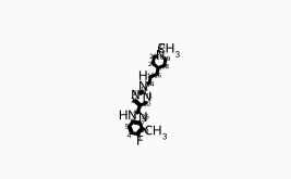 Cc1c(F)ccc2[nH]c(-c3cnc(NCCCC4CCN(C)CC4)nc3)nc12